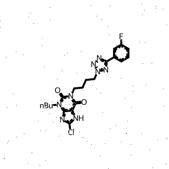 CCCCn1c(=O)n(CCCCn2nnc(-c3cccc(F)c3)n2)c(=O)c2[nH]c(Cl)nc21